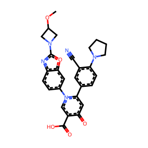 COC1CN(c2nc3ccc(-n4cc(C(=O)O)c(=O)cc4-c4ccc(N5CCCC5)c(C#N)c4)cc3o2)C1